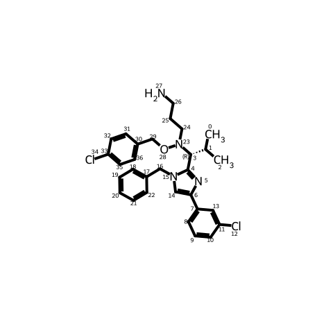 CC(C)[C@H](c1nc(-c2cccc(Cl)c2)cn1Cc1ccccc1)N(CCCN)OCc1ccc(Cl)cc1